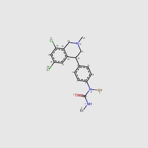 CCNC(=O)N(S)c1ccc(C2CN(C)Cc3c(Cl)cc(Cl)cc32)cc1